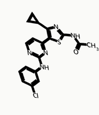 CC(=O)Nc1nc(C2CC2)c(-c2ccnc(Nc3cccc(Cl)c3)n2)s1